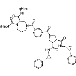 CCCCCCCC(=O)N1CCCN(C(=O)c2cccc(C(=O)N3C[C@@H](C(=O)N[C@H]4C[C@@H]4c4ccccc4)[C@H](C(=O)N[C@H]4C[C@@H]4c4ccccc4)C3)c2)C[C@@H]1C(=O)NCCCCCC